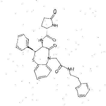 O=C(CN1C(=O)[C@H](NC(=O)[C@@H]2CCC(=O)N2)[C@H](c2ccccc2)Sc2ccccc21)NCCc1ccccc1